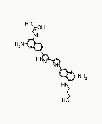 C[C@@H](O)CNc1cc(N)nc2cc(-c3cc(-c4ccn(-c5ccc6c(NCCCO)cc(N)nc6c5)n4)n[nH]3)ccc12